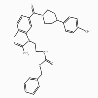 Cc1ccc(C(=O)N2CCC(c3ccc(C#N)cc3)CC2)cc1N(CCNC(=O)OCc1ccccc1)C(N)=O